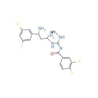 CC(C)N/C(=N/C(=O)c1ccc(F)c(F)c1)NC(N)CC(N)c1cc(F)cc(F)c1